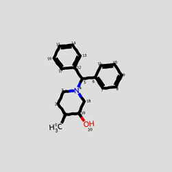 CC1CCN(C(c2ccccc2)c2ccccc2)CC1O